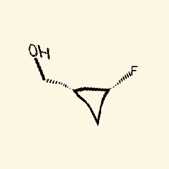 OC[C@H]1C[C@H]1F